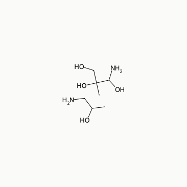 CC(O)(CO)C(N)O.CC(O)CN